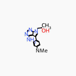 CNc1ccc(-c2cn(CC(C)O)c3ncnc(N)c23)cc1